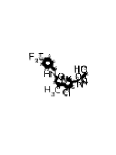 CC(=CC(=O)NCc1ccc(C(F)(F)F)cc1)c1ncc(-c2nnc(CO)o2)cc1Cl